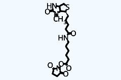 CN1C(=O)NC2CS[C@@H](CCCCC(=O)NCCCCCC(=O)ON3C(=O)CCC3=O)C21